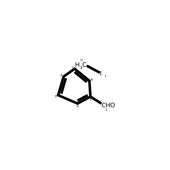 CI.O=Cc1ccccc1